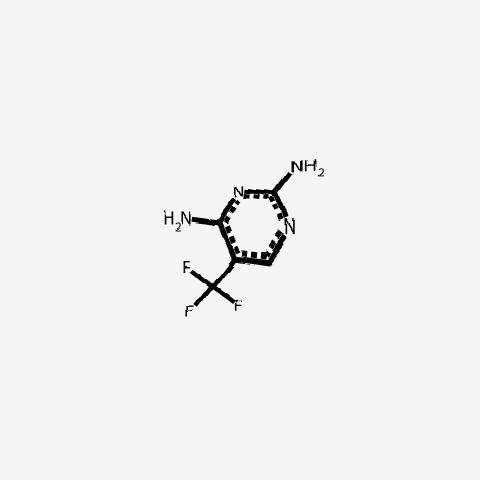 Nc1ncc(C(F)(F)F)c(N)n1